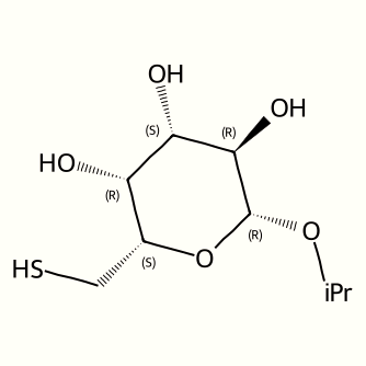 CC(C)O[C@@H]1O[C@H](CS)[C@H](O)[C@H](O)[C@H]1O